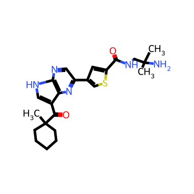 CC(C)(N)CNC(=O)c1cc(-c2cnc3[nH]cc(C(=O)C4(C)CCCCC4)c3n2)cs1